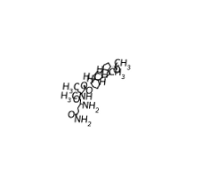 CC(=O)[C@H]1CC[C@H]2[C@@H]3CC[C@H]4C[C@H](OC(=O)[C@@H](NC(=O)[C@@H](N)CCC(N)=O)C(C)C)CC[C@]4(C)[C@H]3CC[C@]12C